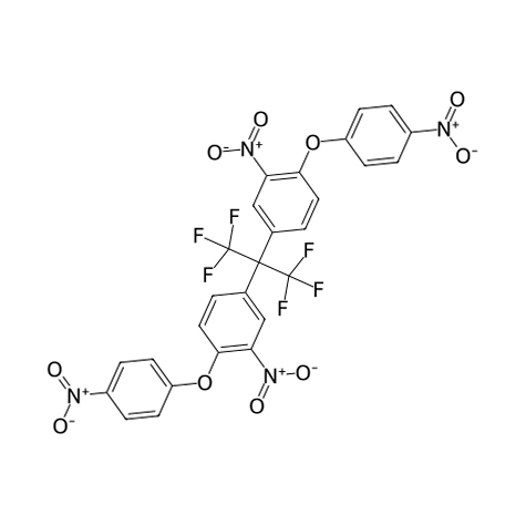 O=[N+]([O-])c1ccc(Oc2ccc(C(c3ccc(Oc4ccc([N+](=O)[O-])cc4)c([N+](=O)[O-])c3)(C(F)(F)F)C(F)(F)F)cc2[N+](=O)[O-])cc1